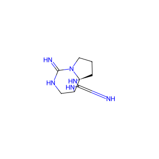 N=C1NC2CNC(=N)N3CCC[C@]23N1